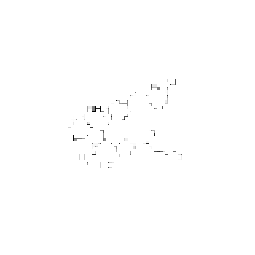 C=CC(=O)N1C[C@H](c2c(-c3ccc(Oc4cccc(C)n4)cc3)c3c(N)ncnc3n2C)[C@@H](O)C1